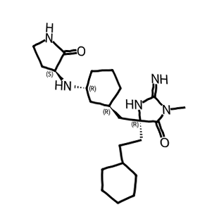 CN1C(=N)N[C@](CCC2CCCCC2)(C[C@@H]2CCC[C@@H](N[C@H]3CCNC3=O)C2)C1=O